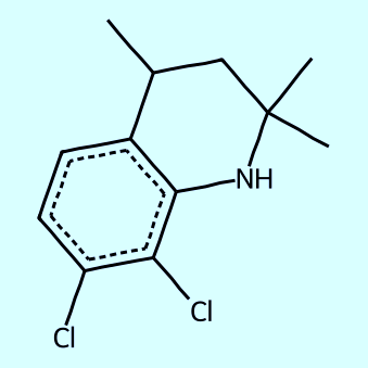 CC1CC(C)(C)Nc2c1ccc(Cl)c2Cl